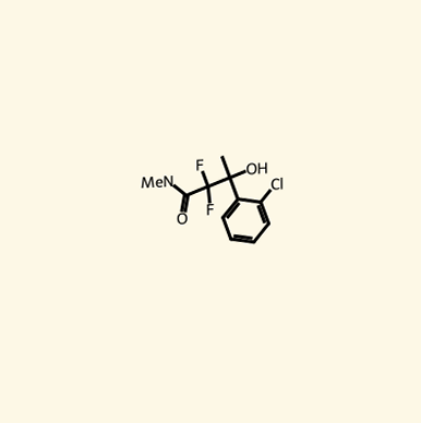 CNC(=O)C(F)(F)C(C)(O)c1ccccc1Cl